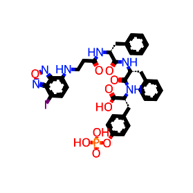 O=C(CCNc1ccc(I)c2nonc12)N[C@H](Cc1ccccc1)C(=O)N[C@H](Cc1ccccc1)C(=O)N[C@H](Cc1ccc(OP(=O)(O)O)cc1)C(=O)O